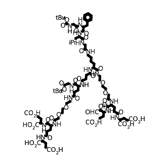 CC(C)CC(NC(=O)C(Cc1ccccc1)NC(=O)CNC(=O)OC(C)(C)C)C(=O)NCC(=O)NCCCCC(NC(=O)CCC(=O)NC(CCC(=O)NCCOCCOCC(=O)NC(CCC(=O)NC(CCC(=O)O)C(=O)O)C(=O)NC(CCC(=O)O)C(=O)O)C(=O)NCC(=O)OC(C)(C)C)C(=O)NCCOCCOCC(=O)NC(CCC(=O)NC(CCC(=O)O)C(=O)O)C(=O)NC(CCC(=O)O)C(O)C=O